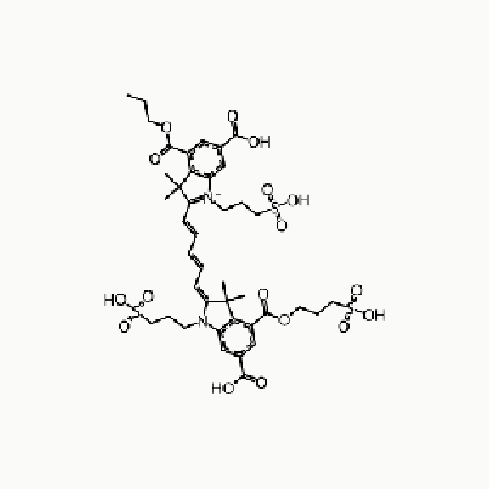 CCCOC(=O)c1cc(C(=O)O)cc2c1C(C)(C)C(/C=C/C=C/C=C1/N(CCCS(=O)(=O)O)c3cc(C(=O)O)cc(C(=O)OCCCS(=O)(=O)O)c3C1(C)C)=[N+]2CCCS(=O)(=O)O